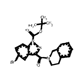 CC(C)(C)OC(=O)n1nc(C(=O)N2CCc3ccccc3C2)c2cc(Br)ccc21